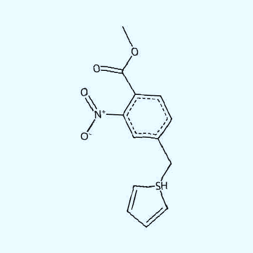 COC(=O)c1ccc(C[SH]2C=CC=C2)cc1[N+](=O)[O-]